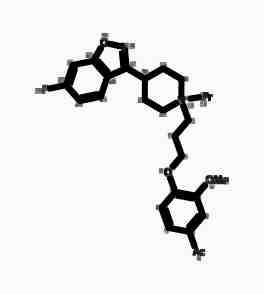 COc1cc(C(C)=O)ccc1OCCC[N+]1(C(C)C)CCC(c2noc3cc(F)ccc23)CC1